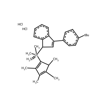 CC1=C(C)C(C)[C]([Zr]([CH3])([CH3])(=[SiH2])[CH]2C=C(c3ccc(C(C)(C)C)cc3)c3ccccc32)=C1C.Cl.Cl